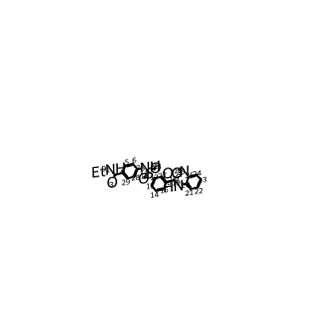 CCNC(=O)c1ccc(NS(=O)(=O)c2cccc(C(=O)Nc3ccccc3[N+](=O)[O-])c2)cc1